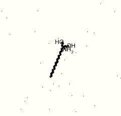 CCCCCCCC/C=C/CCCCCCCC(N)(CCO)CCO